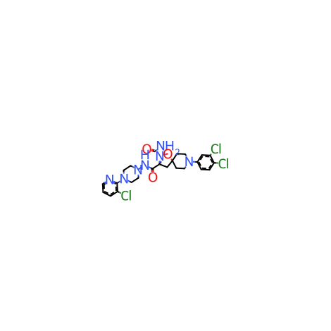 NC=O.O=C(NN1CCN(c2ncccc2Cl)CC1)C1=NOC2(CCN(c3ccc(Cl)c(Cl)c3)CC2)C1